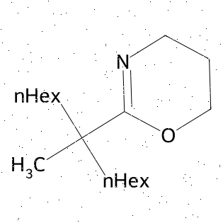 CCCCCCC(C)(CCCCCC)C1=NCCCO1